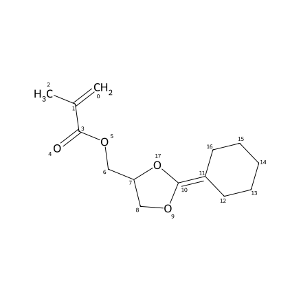 C=C(C)C(=O)OCC1COC(=C2CCCCC2)O1